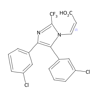 O=C(O)/C=C\n1c(C(F)(F)F)nc(-c2cccc(Cl)c2)c1-c1cccc(Cl)c1